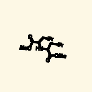 COC(=O)C(CC(C)C)NC(CC(C)C)C(=O)OC